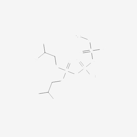 CCCCC(CC)COP(=O)(OCC(CC)CCCC)OP(=O)(O)OP(=O)(O)[O][Nd]